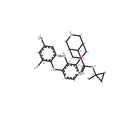 [C-]#[N+]c1ccc(Oc2ncnc(OC3C4COCC3CN(C(=O)OC3(C)CC3)C4)c2OC)c(F)c1